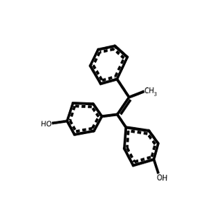 CC(=C(c1ccc(O)cc1)c1ccc(O)cc1)c1ccccc1